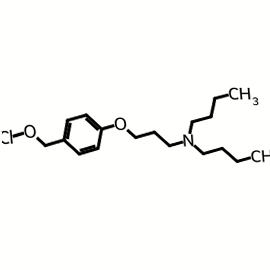 CCCCN(CCCC)CCCOc1ccc(COCl)cc1